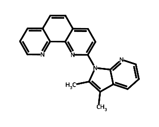 Cc1c(C)n(-c2ccc3ccc4cccnc4c3n2)c2ncccc12